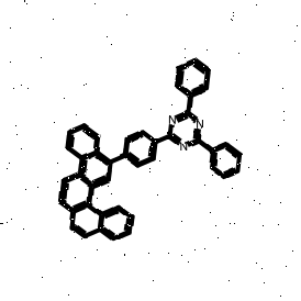 c1ccc(-c2nc(-c3ccccc3)nc(-c3ccc(-c4cc5c(ccc6ccc7ccccc7c65)c5ccccc45)cc3)n2)cc1